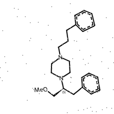 COC[C@H](Cc1ccccc1)N1CCN(CCCc2ccccc2)CC1